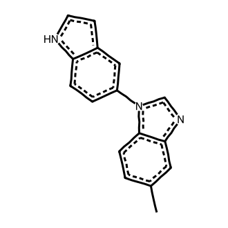 Cc1ccc2c(c1)ncn2-c1ccc2[nH]ccc2c1